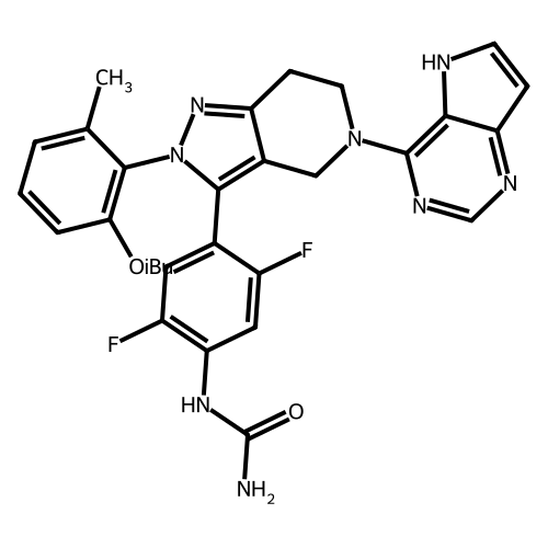 Cc1cccc(OCC(C)C)c1-n1nc2c(c1-c1cc(F)c(NC(N)=O)cc1F)CN(c1ncnc3cc[nH]c13)CC2